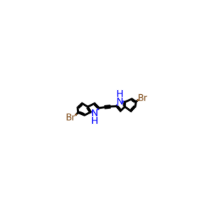 Brc1ccc2cc(C#Cc3cc4ccc(Br)cc4[nH]3)[nH]c2c1